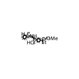 CCC(OCCOC)c1ccc(OCCNC(C)Cc2ccccc2)cc1.Cl